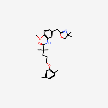 COc1ccc(CC2=NC(C)(C)CO2)cc1NC(=O)C(C)(C)CCCOc1cc(C)ccc1C